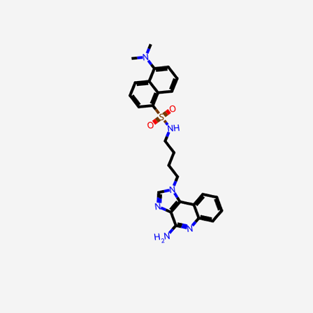 CN(C)c1cccc2c(S(=O)(=O)NCCCCn3cnc4c(N)nc5ccccc5c43)cccc12